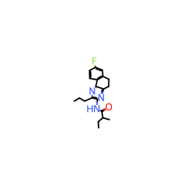 CCCc1nc2c(nc1NC(=O)C(C)CC)CCc1cc(F)ccc1-2